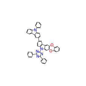 c1ccc(-c2nc(-c3ccccc3)nc(-n3c4ccc(-c5ccc6c(c5)c5ccccc5n6-c5ccccc5)cc4c4cc5c(cc43)Oc3ccccc3O5)n2)cc1